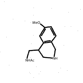 COc1ccc2c(c1)C(CNC(C)=O)CNC2